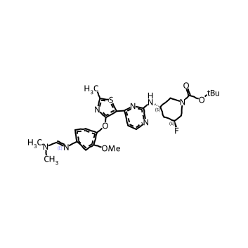 COc1cc(/N=C/N(C)C)ccc1Oc1nc(C)sc1-c1ccnc(N[C@H]2C[C@H](F)CN(C(=O)OC(C)(C)C)C2)n1